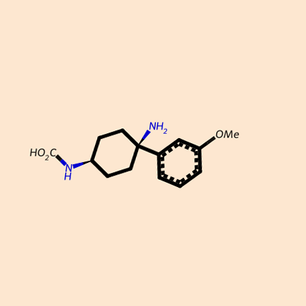 COc1cccc([C@]2(N)CC[C@@H](NC(=O)O)CC2)c1